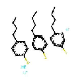 CCCCc1ccc([S])cc1.CCCCc1ccc([S])cc1.CCCCc1ccc([S])cc1.F.F.F